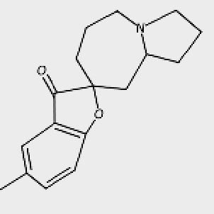 O=C1c2cc(Br)ccc2OC12CCCN1CCCC1C2